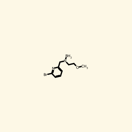 BN(CCOC)Cc1cccc(Br)n1